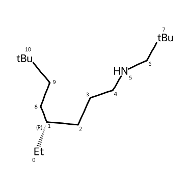 CC[C@@H](CCCNCC(C)(C)C)CCC(C)(C)C